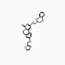 O=c1nc(OC[C@@H]2COc3ncccc3O2)cc2n1CCc1cc(OCc3ncco3)ccc1-2